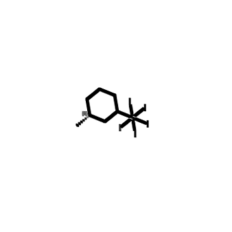 C[C@@H]1CCCC(S(I)(I)(I)(I)I)C1